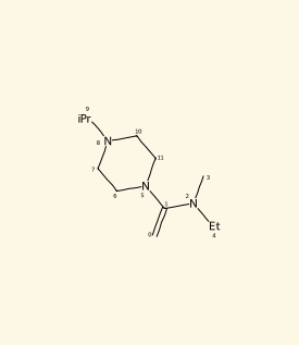 C=C(N(C)CC)N1CCN(C(C)C)CC1